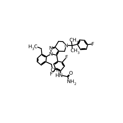 CCc1cccc(CC)c1-n1nc2c(c1-c1cc(F)c(NC(N)=O)cc1F)CN(C(C)(C)c1ccc(F)cc1)CC2